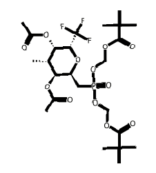 CC(=O)O[C@H]1[C@H](C)[C@H](OC(C)=O)[C@H](C(F)(F)F)O[C@H]1CP(=O)(OCOC(=O)C(C)(C)C)OCOC(=O)C(C)(C)C